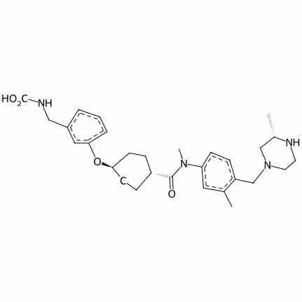 Cc1cc(N(C)C(=O)[C@H]2CC[C@H](Oc3cccc(CNC(=O)O)c3)CC2)ccc1CN1CCN[C@@H](C)C1